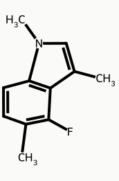 Cc1ccc2c(c(C)cn2C)c1F